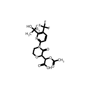 CC(=O)OC(C(=O)O)C1OCCN(c2ccc(C(F)(F)F)c(C(C)(C)O)n2)C1=O